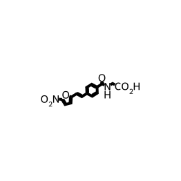 O=C(O)CNC(=O)c1ccc(C=Cc2ccc([N+](=O)[O-])o2)cc1